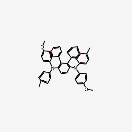 COc1ccc(N(c2ccc(C)cc2)c2ccc(N(c3ccc(C)cc3)c3ccc(OC)cc3)c(-c3ccccc3)c2-c2ccccc2)cc1